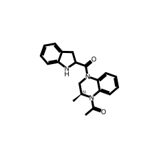 CC(=O)N1c2ccccc2N(C(=O)C2Cc3ccccc3N2)C[C@@H]1C